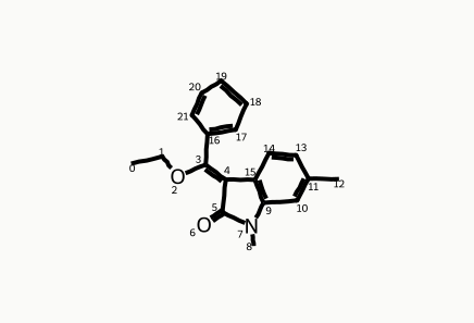 CCO/C(=C1\C(=O)N(C)c2cc(C)ccc21)c1ccccc1